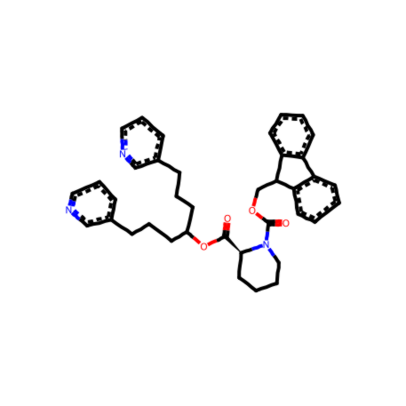 O=C(OC(CCCc1cccnc1)CCCc1cccnc1)[C@@H]1CCCCN1C(=O)OCC1c2ccccc2-c2ccccc21